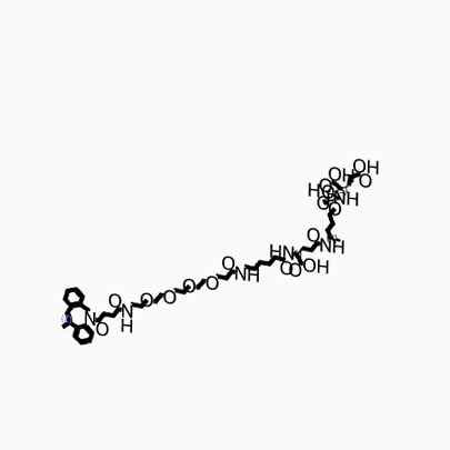 C/C1=C/C2=C(C=CCC2)CN(C(=O)CCC(=O)NCCOCCOCCOCCOCCC(=O)NCCCCCC(=O)N[C@@H](CCC(=O)N[C@H](C)CCCOP(=O)(O)N[C@@H](CCC(=O)O)C(=O)O)C(=O)O)c2ccccc21